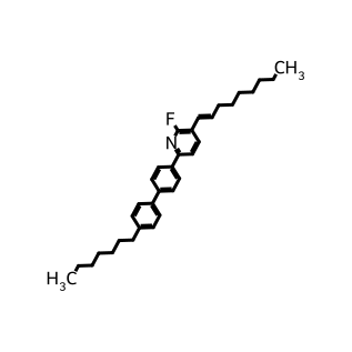 CCCCCCCC=Cc1ccc(-c2ccc(-c3ccc(CCCCCCC)cc3)cc2)nc1F